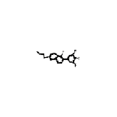 CCCCc1ccc2c(F)c(-c3cc(F)c(F)c(F)c3)ccc2c1